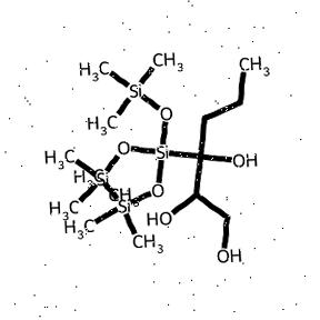 CCCC(O)(C(O)CO)[Si](O[Si](C)(C)C)(O[Si](C)(C)C)O[Si](C)(C)C